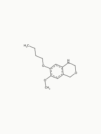 CCCCOc1cc2c(cc1OC)COCN2